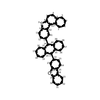 c1ccc2c(c1)ccc1sc3ccc(-c4c5ccccc5c(-c5ccc6c(c5)oc5ccccc56)c5ccccc45)cc3c12